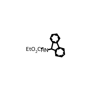 CCOC(=O)CNC1c2ccccc2-c2ccccc21